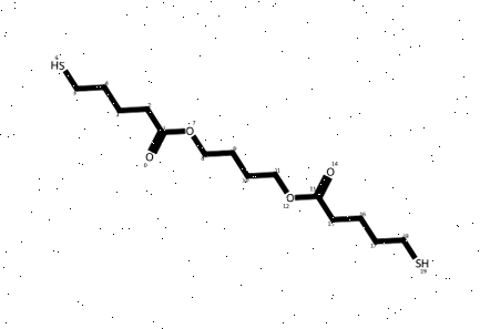 O=C(CCCCS)OCCCCOC(=O)CCCCS